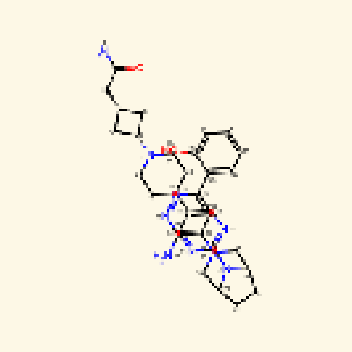 NC(=O)C[C@H]1C[C@H](N2CCC(c3cnc(N4C5CCC4CN(c4cc(-c6ccccc6O)nnc4N)C5)nc3)CC2)C1